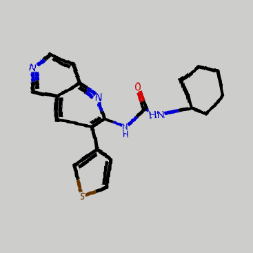 O=C(Nc1nc2ccncc2cc1-c1ccsc1)NC1CCCCC1